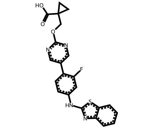 O=C(O)C1(COc2ncc(-c3ccc(Nc4nc5ccccc5s4)cc3F)cn2)CC1